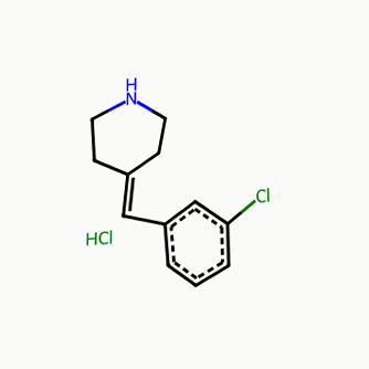 Cl.Clc1cccc(C=C2CCNCC2)c1